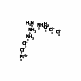 N.N.N.N.O.[Cl-].[Cl-].[Cl-].[Cl-].[Pt+4]